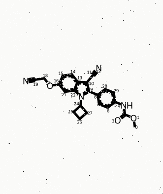 COC(=O)Nc1ccc(-c2c(C#N)c3ccc(OCC#N)cc3n2C2CCC2)cc1